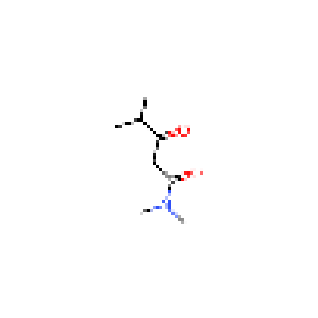 CC(C)C(=O)CC(=O)N(C)C